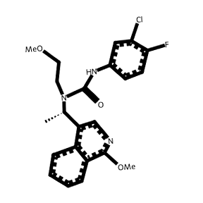 COCCN(C(=O)Nc1ccc(F)c(Cl)c1)[C@@H](C)c1cnc(OC)c2ccccc12